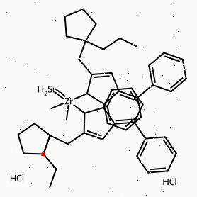 CCCC1(CC2=Cc3c(-c4ccccc4)cccc3[CH]2[Zr]([CH3])([CH3])(=[SiH2])[CH]2C(CC3(CCC)CCCC3)=Cc3c(-c4ccccc4)cccc32)CCCC1.Cl.Cl